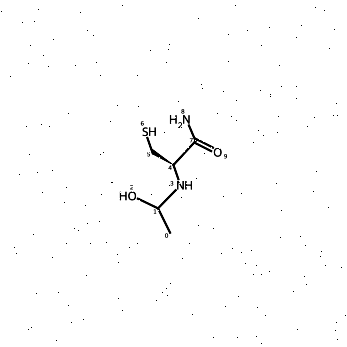 CC(O)N[C@@H](CS)C(N)=O